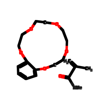 C=C(C)C(=O)NC.c1ccc2c(c1)OCCOCCOCCOCCO2